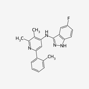 Cc1ccccc1-c1cc(Nc2n[nH]c3ccc(F)cc23)c(C)c(C)n1